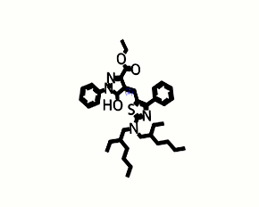 CCCCC(CC)CN(CC(CC)CCCC)c1nc(-c2ccccc2)c(/C=C2/C(C(=O)OCC)=NN(c3ccccc3)C2O)s1